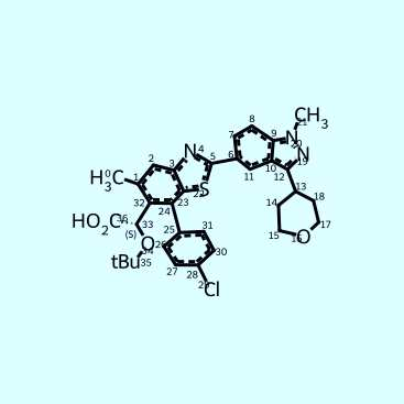 Cc1cc2nc(-c3ccc4c(c3)c(C3CCOCC3)nn4C)sc2c(-c2ccc(Cl)cc2)c1[C@H](OC(C)(C)C)C(=O)O